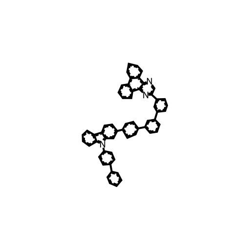 c1ccc(-c2ccc(-n3c4ccccc4c4ccc(-c5ccc(-c6cccc(-c7cccc(-c8cnc9c%10ccccc%10c%10ccccc%10c9n8)c7)c6)cc5)cc43)cc2)cc1